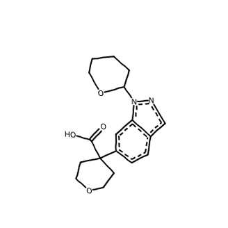 O=C(O)C1(c2ccc3cnn(C4CCCCO4)c3c2)CCOCC1